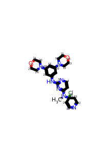 CN(c1ccnc(Nc2cc(N3CCOCC3)cc(N3CCOCC3)c2)n1)C1(Cl)C=CN=CC1